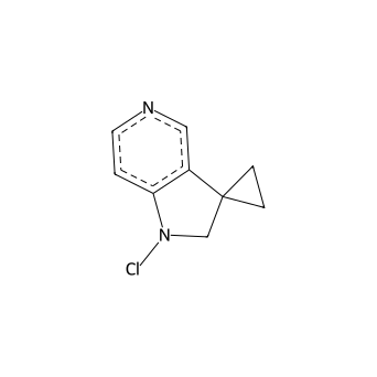 ClN1CC2(CC2)c2cnccc21